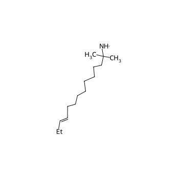 CCC=CCCCCCCCCC(C)(C)[NH]